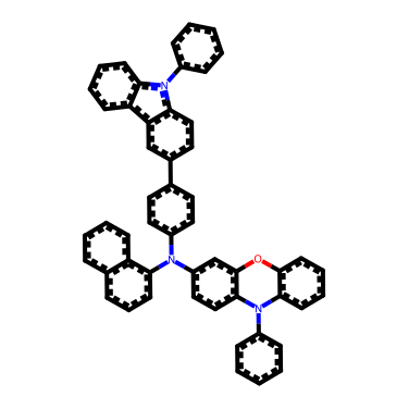 c1ccc(N2c3ccccc3Oc3cc(N(c4ccc(-c5ccc6c(c5)c5ccccc5n6-c5ccccc5)cc4)c4cccc5ccccc45)ccc32)cc1